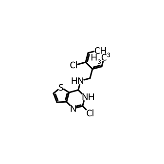 C/C=C(CNC1NC(Cl)=Nc2ccsc21)\C(Cl)=C/C